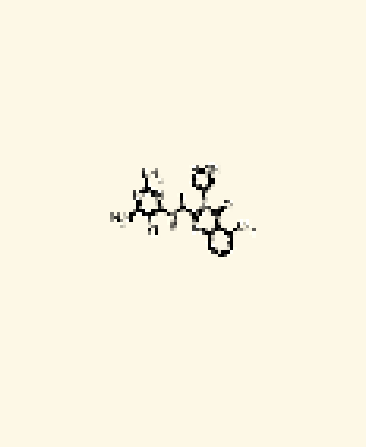 CC(Nc1nc(N)nc(N)c1Cl)c1nc2cccc(C(F)(F)F)c2c(=O)n1-c1cn[nH]c1